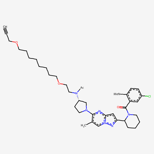 C#CCOCCCCCCCCOCCN(C(C)=O)[C@H]1CCN(c2nc3cc(C4CCCCN4C(=O)c4cc(Cl)ccc4NC)nn3cc2C)C1